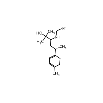 CC1=CC=C([C@@H](C)CC(NCC(C)C)C(C)(C)O)CC1